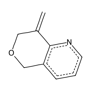 C=C1COCc2cccnc21